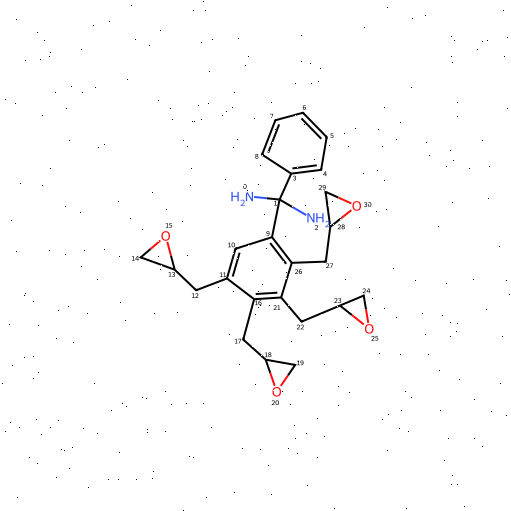 NC(N)(c1ccccc1)c1cc(CC2CO2)c(CC2CO2)c(CC2CO2)c1CC1CO1